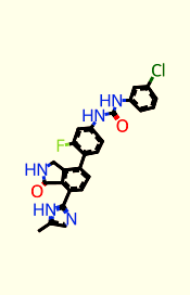 Cc1cnc(-c2ccc(-c3ccc(NC(=O)Nc4cccc(Cl)c4)cc3F)c3c2C(=O)NC3)[nH]1